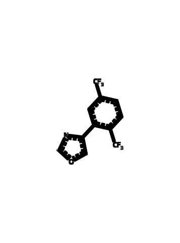 FC(F)(F)c1ccc(C(F)(F)F)c(-c2co[c]n2)c1